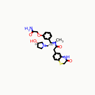 CN(C(=O)Cc1ccc2c(c1)NC(=O)CS2)[C@H](CN1CC[C@H](O)C1)c1cccc(OCC(N)=O)c1